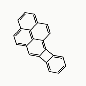 c1cc2ccc3cc4c5ccccc5c4c4ccc(c1)c2c34